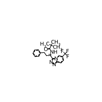 CC(C)(C)C(=O)N[C@H](CCc1ccccc1)c1nnc2ccc(C(F)(F)F)cn12